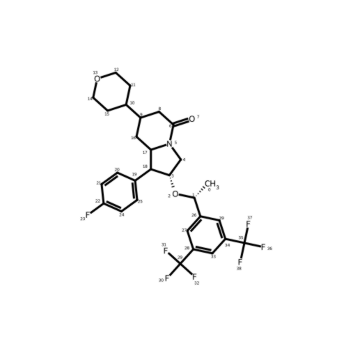 C[C@@H](O[C@H]1CN2C(=O)CC(C3CCOCC3)CC2C1c1ccc(F)cc1)c1cc(C(F)(F)F)cc(C(F)(F)F)c1